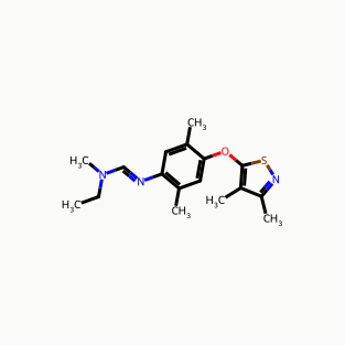 CCN(C)C=Nc1cc(C)c(Oc2snc(C)c2C)cc1C